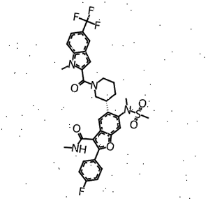 CNC(=O)c1c(-c2ccc(F)cc2)oc2cc(N(C)S(C)(=O)=O)c([C@H]3CCCN(C(=O)c4cc5cc(C(F)(F)F)ccc5n4C)C3)cc12